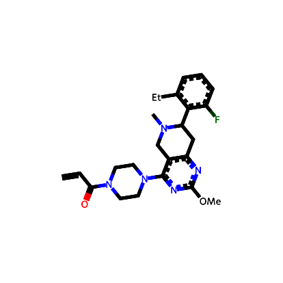 C=CC(=O)N1CCN(c2nc(OC)nc3c2CN(C)C(c2c(F)cccc2CC)C3)CC1